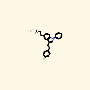 O=C(O)CCc1ccc2c(c1)c(CCc1ccc(F)cc1)cn2-c1ccccc1